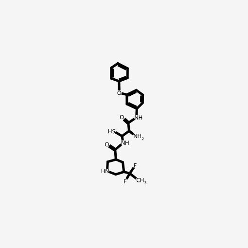 CC(F)(F)C1CNCC(C(=O)NC(S)C(N)C(=O)Nc2cccc(Oc3ccccc3)c2)C1